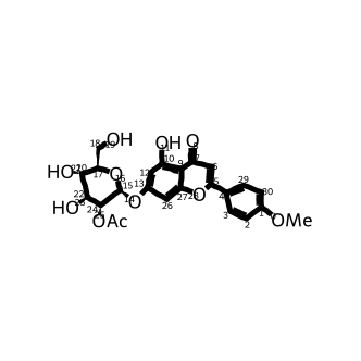 COc1ccc(-c2cc(=O)c3c(O)cc(O[C@@H]4O[C@H](CO)[C@@H](O)[C@H](O)[C@H]4OC(C)=O)cc3o2)cc1